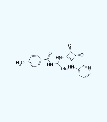 Cc1ccc(C(=O)NC(Nc2c(Nc3cccnc3)c(=O)c2=O)C(C)(C)C)cc1